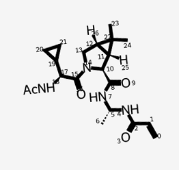 C=CC(=O)N[C@H](C)NC(=O)[C@@H]1[C@@H]2[C@H](CN1C(=O)[C@@H](NC(C)=O)C1CC1)C2(C)C